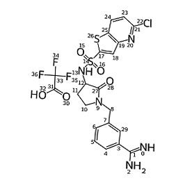 N=C(N)c1cccc(CN2CCC(NS(=O)(=O)c3cc4nc(Cl)ccc4s3)C2=O)c1.O=C(O)C(F)(F)F